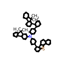 CC1(C)c2ccccc2-c2ccc(N(c3ccc(-c4ccccc4-c4cccc5c4C(C)(C)c4ccccc4-5)cc3)c3ccc(-c4cccc5sc6c7ccccc7ccc6c45)cc3)cc21